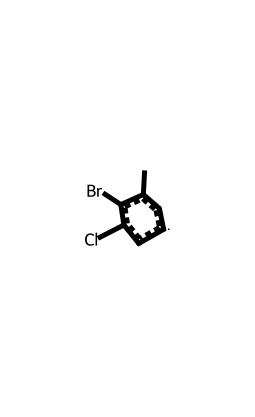 Cc1c[c]cc(Cl)c1Br